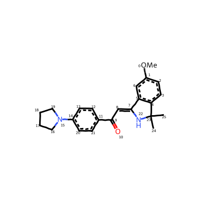 COc1ccc2c(c1)/C(=C/C(=O)c1ccc(N3CCCC3)cc1)NC2(C)C